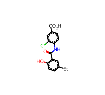 CCc1ccc(O)c(C(=O)Nc2ccc(C(=O)O)cc2Cl)c1